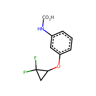 O=C(O)Nc1cccc(OC2CC2(F)F)c1